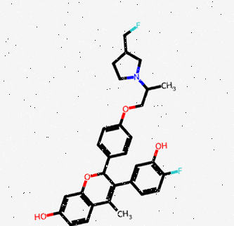 CC1=C(c2ccc(F)c(O)c2)C(c2ccc(OCC(C)N3CCC(CF)C3)cc2)Oc2cc(O)ccc21